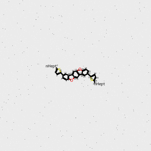 CCCCCCCc1ccc(-c2ccc3oc4cc5c(cc4c3c2)oc2ccc(-c3ccc(CCCCCCC)s3)cc25)s1